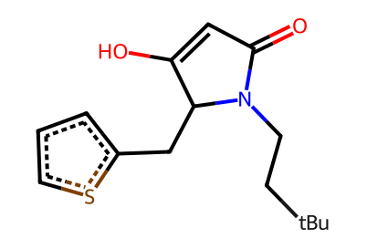 CC(C)(C)CCN1C(=O)C=C(O)C1Cc1cccs1